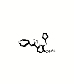 COc1ccc(C(C#N)=Cc2ccncc2)nc1OC1CCCC1